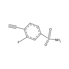 C#Cc1ccc(S(N)(=O)=O)cc1F